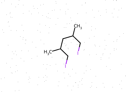 CC(CI)CC(C)CI